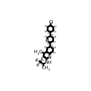 Cc1cc(NC(C)C(F)(F)F)nc2ccc(-c3ccc(-c4ccc(Cl)cc4)cn3)cc12